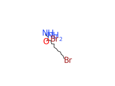 NCC(N)C(=O)C(Br)CCCCCCCCCBr